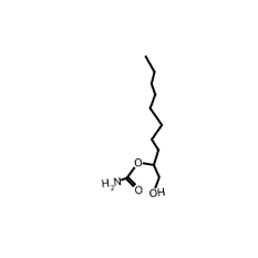 CCCCCCCCC(CO)OC(N)=O